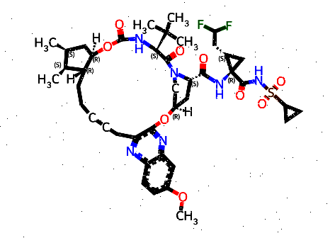 COc1ccc2nc3c(nc2c1)O[C@@H]1C[C@@H](C(=O)N[C@]2(C(=O)NS(=O)(=O)C4CC4)C[C@H]2CC(F)F)N(C1)C(=O)[C@H](C(C)(C)C)NC(=O)O[C@@H]1C[C@H](C)[C@H](C)[C@H]1CCCCC3